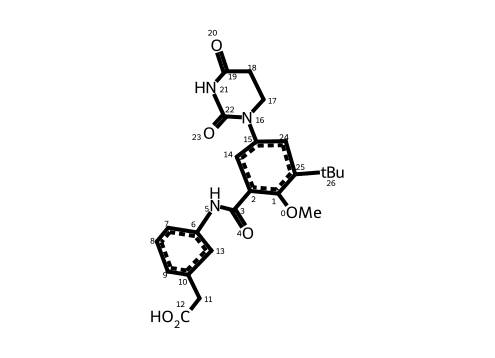 COc1c(C(=O)Nc2cccc(CC(=O)O)c2)cc(N2CCC(=O)NC2=O)cc1C(C)(C)C